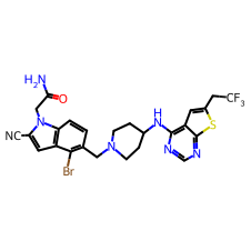 N#Cc1cc2c(Br)c(CN3CCC(Nc4ncnc5sc(CC(F)(F)F)cc45)CC3)ccc2n1CC(N)=O